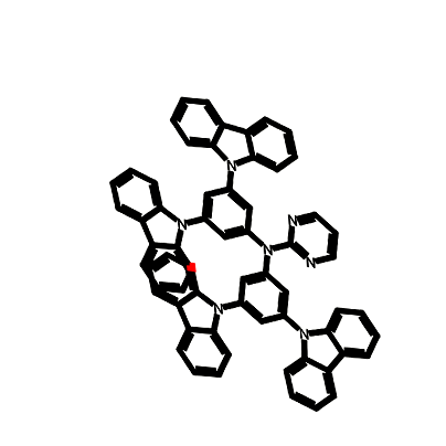 c1cnc(N(c2cc(-n3c4ccccc4c4ccccc43)cc(-n3c4ccccc4c4ccccc43)c2)c2cc(-n3c4ccccc4c4ccccc43)cc(-n3c4ccccc4c4ccccc43)c2)nc1